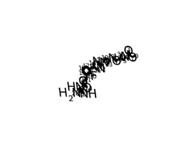 COC(=O)N1CC(ON=C2CN(c3ncc(-c4cccc(COC(=O)NC(=N)N)c4F)cn3)C2)C1